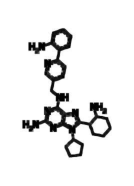 Nc1nc(NCc2ccc(-c3ccccc3N)nc2)c2nc(C3CCCCC3N)n(C3CCCC3)c2n1